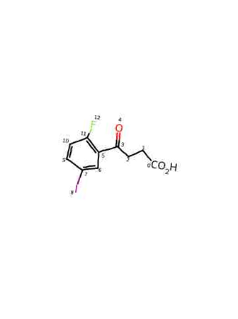 O=C(O)CCC(=O)c1cc(I)ccc1F